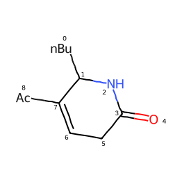 CCCCC1NC(=O)CC=C1C(C)=O